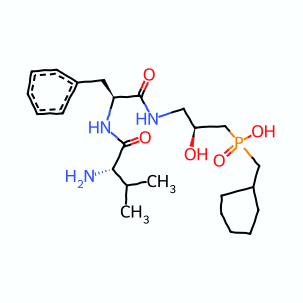 CC(C)[C@H](N)C(=O)N[C@@H](Cc1ccccc1)C(=O)NC[C@H](O)CP(=O)(O)CC1CCCCC1